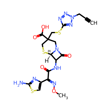 C#CCn1nnc(SCC2(C(=O)O)CS[C@@H]3C(NC(=O)C(=NOC)c4csc(N)n4)C(=O)N3C2)n1